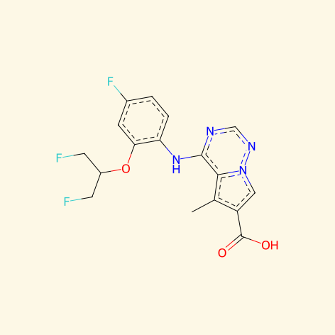 Cc1c(C(=O)O)cn2ncnc(Nc3ccc(F)cc3OC(CF)CF)c12